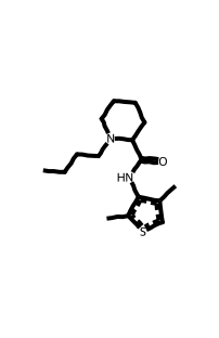 CCCCN1CCCCC1C(=O)Nc1c(C)csc1C